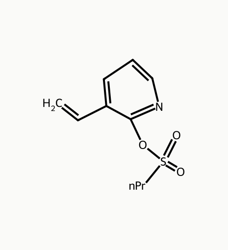 C=Cc1cccnc1OS(=O)(=O)CCC